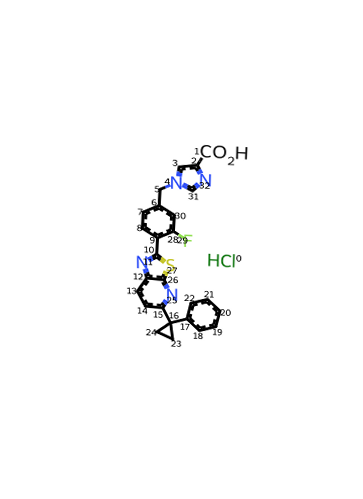 Cl.O=C(O)c1cn(Cc2ccc(-c3nc4ccc(C5(c6ccccc6)CC5)nc4s3)c(F)c2)cn1